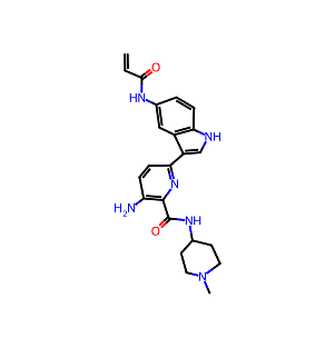 C=CC(=O)Nc1ccc2[nH]cc(-c3ccc(N)c(C(=O)NC4CCN(C)CC4)n3)c2c1